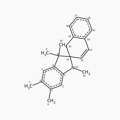 Cc1cc2c(cc1C)C(C)(C)C1(C=Cc3ccccc3C1)N2C